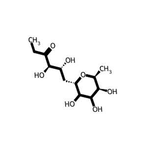 CCC(=O)[C@H](O)[C@H](O)C[C@@H]1O[C@@H](C)[C@@H](O)C(O)C1O